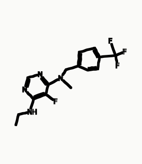 CCNc1ncnc(N(C)Cc2ccc(C(F)(F)F)cc2)c1F